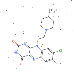 Cc1cc2nc3c(=O)[nH]c(=O)nc-3n(CCN3CCC(C(=O)O)CC3)c2cc1Cl